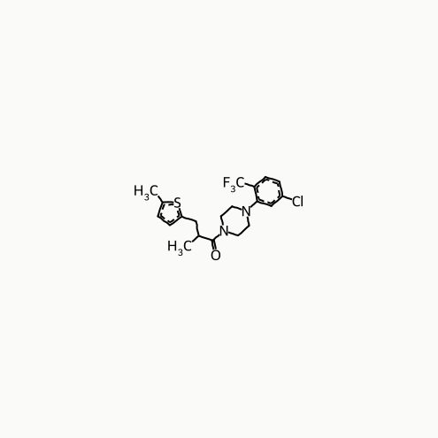 Cc1ccc(CC(C)C(=O)N2CCN(c3cc(Cl)ccc3C(F)(F)F)CC2)s1